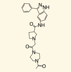 CC(=O)N1CCN(C(=O)CN2CCC(C(=O)Nc3ccc4[nH]nc(-c5ccccc5)c4c3)C2)CC1